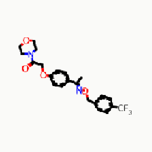 C/C(=N\OCc1ccc(C(F)(F)F)cc1)c1ccc(OCC(=O)N2CCOCC2)cc1